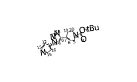 CC(C)(C)OC(=O)N1CC=C(c2cn(-c3ccncc3)nn2)CC1